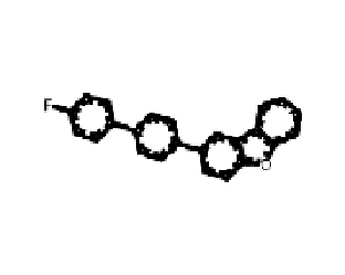 Fc1ccc(-c2ccc(-c3ccc4oc5ccccc5c4c3)cc2)cc1